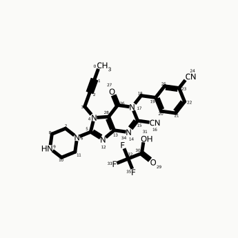 CC#CCn1c(N2CCNCC2)nc2nc(C#N)n(Cc3cccc(C#N)c3)c(=O)c21.O=C(O)C(F)(F)F